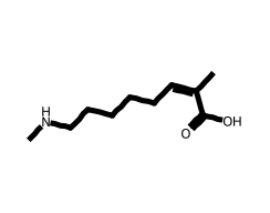 CNCCCCCC=C(C)C(=O)O